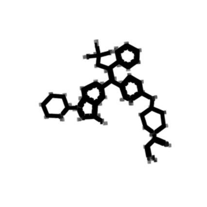 C=CC(=O)N1CCC(Oc2ccc(/C(=C(/CC(F)(F)F)c3ccccc3)c3ccc4c(c3)c(F)nn4C3CCCCO3)cn2)CC1